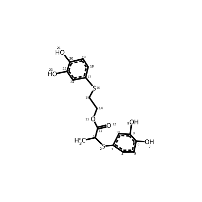 CC(Sc1ccc(O)c(O)c1)C(=O)OCCSc1ccc(O)c(O)c1